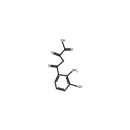 Nc1c(O)cccc1C(=O)CC(=O)C(=O)O